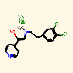 Br.Br.CN(CCc1ccc(Cl)c(Cl)c1)CC(O)c1ccncc1